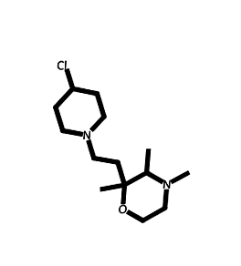 CC1N(C)CCOC1(C)CCN1CCC(Cl)CC1